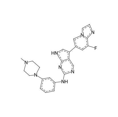 CN1CCN(c2cccc(Nc3ncc4c(-c5cc(F)c6nccn6c5)c[nH]c4n3)c2)CC1